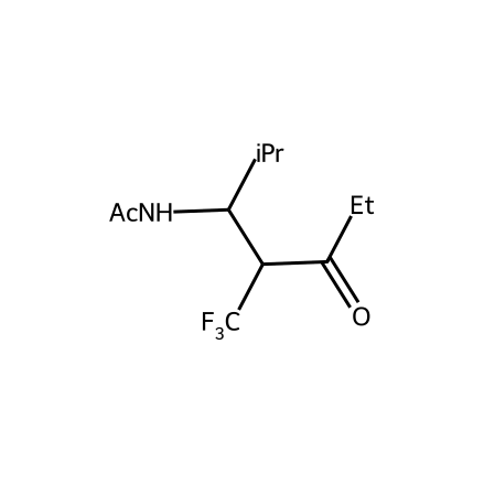 CCC(=O)C(C(NC(C)=O)C(C)C)C(F)(F)F